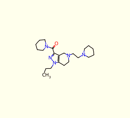 CCCn1nc(C(=O)N2CCCCC2)c2c1CCN(CCN1CCCCC1)C2